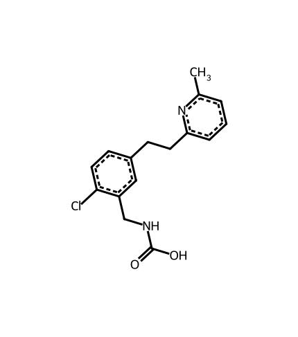 Cc1cccc(CCc2ccc(Cl)c(CNC(=O)O)c2)n1